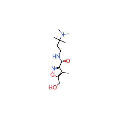 Cc1c(C(=O)NCCC(C)(C)N(C)C)noc1CO